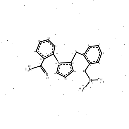 CN(C)Cc1ccccc1Cc1cccn1-c1ccccc1C(N)=S